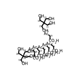 CC(=O)CC(=O)O.CC(=O)CC(=O)O.CC(=O)CC(=O)O.CC(=O)CC(=O)O.CC(=O)CC(=O)O.CC(=O)CC(=O)O.OCC(CO)(CO)CO.OCC(CO)(CO)CO